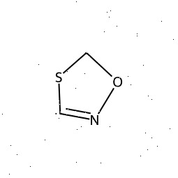 [C]1=NOCS1